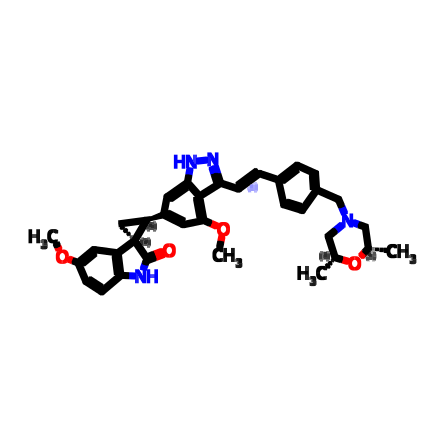 COc1ccc2c(c1)[C@]1(C[C@H]1c1cc(OC)c3c(/C=C/c4ccc(CN5C[C@@H](C)O[C@@H](C)C5)cc4)n[nH]c3c1)C(=O)N2